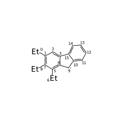 CCc1cc2c(c(CC)c1CC)[CH]c1ccccc1-2